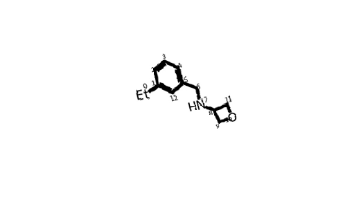 CCc1cccc(CNC2COC2)c1